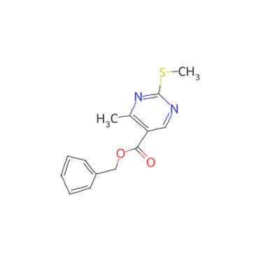 CSc1ncc(C(=O)OCc2ccccc2)c(C)n1